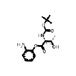 C[C@H](O)[C@@H](NC(=O)OC(C)(C)C)C(=O)Oc1ccccc1N